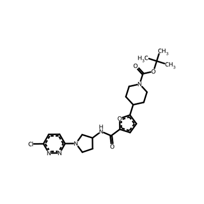 CC(C)(C)OC(=O)N1CCC(c2ccc(C(=O)NC3CCN(c4ccc(Cl)nn4)C3)o2)CC1